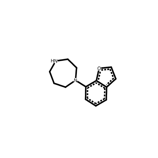 c1cc(N2CCCNCC2)c2occc2c1